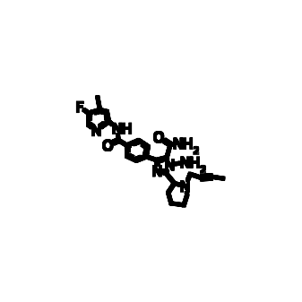 CC#CCN1CCCCC1c1nc(-c2ccc(C(=O)Nc3cc(C)c(F)cn3)cc2)c(C(N)=O)n1N